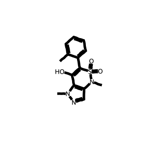 Cc1ccccc1C1=C(O)c2c(cnn2C)N(C)S1(=O)=O